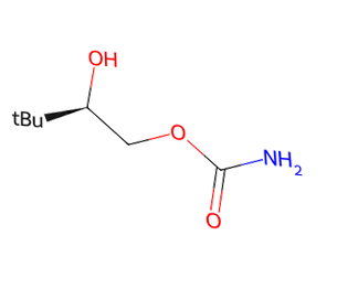 CC(C)(C)[C@@H](O)COC(N)=O